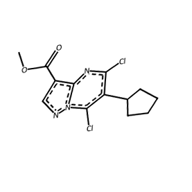 COC(=O)c1cnn2c(Cl)c(C3CCCC3)c(Cl)nc12